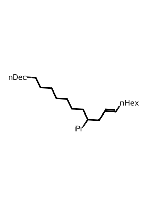 [CH2]CCCCCC=CCC(CCCCCCCCCCCCCCCC[CH2])C(C)C